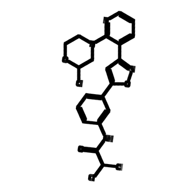 O=C(Nc1cccc(-c2cc(-c3cccnc3N3CCOC(Cl)C3)no2)c1)C(Cl)Cl